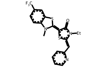 CCn1c(=O)/c(=C2\Sc3cc(C(F)(F)F)ccc3N2C)s/c1=C\c1ccccn1